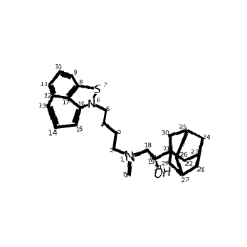 CN(CCCCN1Sc2cccc3cccc1c23)C[C@H](O)C12CC3CC(CC(C3)C1)C2